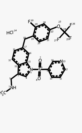 CNCc1cn(S(=O)(=O)c2cccnc2)c2cc(Cc3ccc(OC(F)(F)F)cc3F)ccc12.Cl